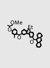 CCn1c2ccc(C(=O)c3ccc(OC(C)COC)cc3C)cc2c2cc(C(=O)c3c4ccccc4cc4ccccc34)ccc21